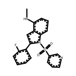 CNc1cccc2c1cc(-c1ccccc1F)n2S(=O)(=O)c1cccnc1